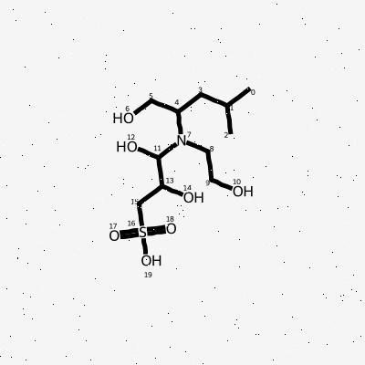 CC(C)CC(CO)N(CCO)C(O)C(O)CS(=O)(=O)O